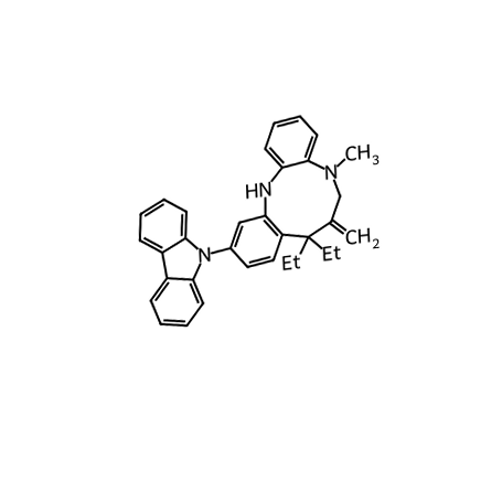 C=C1CN(C)c2ccccc2Nc2cc(-n3c4ccccc4c4ccccc43)ccc2C1(CC)CC